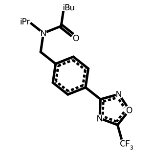 CCC(C)C(=O)N(Cc1ccc(-c2noc(C(F)(F)F)n2)cc1)C(C)C